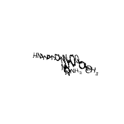 COc1ccc(Oc2ccc(-c3nn(C4CCN(C5CN(C6CNC6)C5)CC4)c4ncnc(N)c34)cc2)cc1